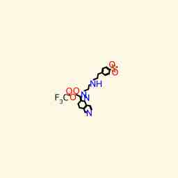 CS(=O)(=O)c1ccc(CCCNCCCn2nc3c(c2C(=O)OC(=O)C(F)(F)F)CCc2cnccc2-3)cc1